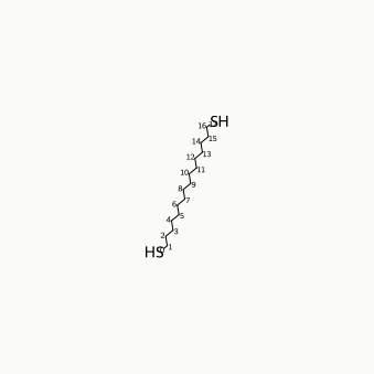 SCCCCCCCCCCCCCCCCS